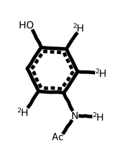 [2H]c1cc(O)c([2H])c([2H])c1N([2H])C(C)=O